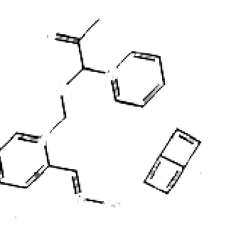 CC(=O)C(OC[n+]1ccccc1C=NO)[n+]1ccccc1.[I-].[I-].c1cc2ccc1-2